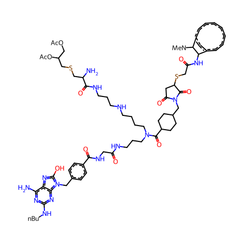 CCCCNc1nc(N)c2nc(O)n(Cc3ccc(C(=O)NCC(=O)NCCCN(CCCCNCCCNC(=O)C(N)CSCC(COC(C)=O)OC(C)=O)C(=O)C4CCC(CN5C(=O)CC(SCC(=O)NC6c7cccccccc(c7)C6NC)C5=O)CC4)cc3)c2n1